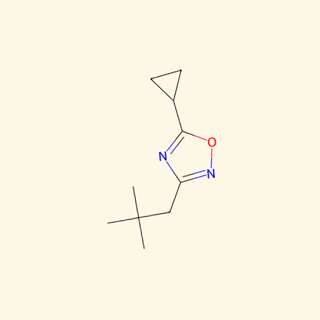 CC(C)(C)Cc1noc(C2CC2)n1